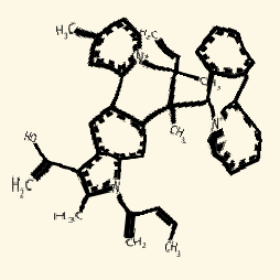 C=CC1(C)[n+]2ccc(C)cc2-c2cc3c(C(=C)O)c(C)n(C(=C)/C=C\C)c3cc2C1(C)C1c2ccccc2-c2cccc[n+]21